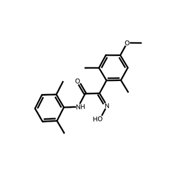 COc1cc(C)c(/C(=N/O)C(=O)Nc2c(C)cccc2C)c(C)c1